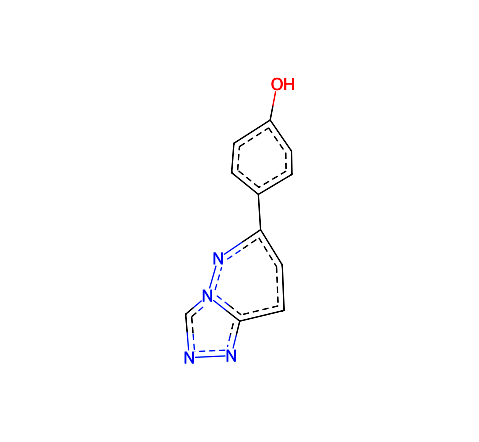 Oc1ccc(-c2ccc3nncn3n2)cc1